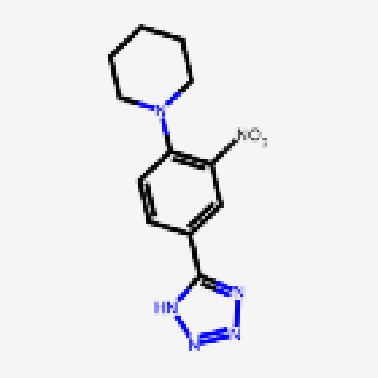 O=[N+]([O-])c1cc(-c2nnn[nH]2)ccc1N1CCCCC1